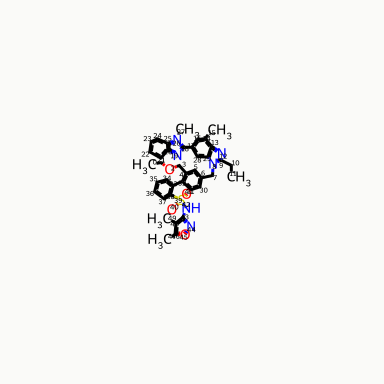 CCOCc1cc(Cn2c(CC)nc3c(C)cc(-c4nc5ccccc5n4C)cc32)ccc1-c1ccccc1S(=O)(=O)Nc1noc(C)c1C